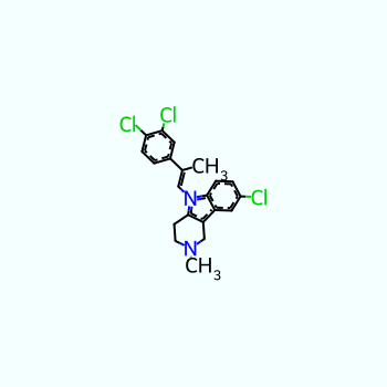 CC(=Cn1c2c(c3cc(Cl)ccc31)CN(C)CC2)c1ccc(Cl)c(Cl)c1